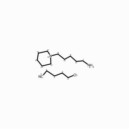 N#CCCCCCl.NCCCCCN1CCCCC1